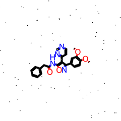 COc1ccc(-c2noc(NC(=O)Cc3ccccc3)c2-c2ccncn2)cc1OC